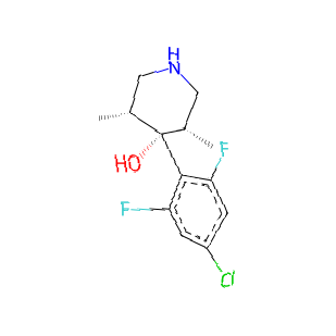 C[C@@H]1CNC[C@H](C)[C@@]1(O)c1c(F)cc(Cl)cc1F